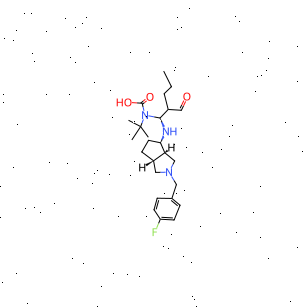 CCCC(C=O)[C@@H](N[C@@H]1CC[C@H]2CN(Cc3ccc(F)cc3)C[C@H]21)N(C(=O)O)C(C)(C)C